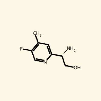 Cc1cc([C@H](N)CO)ncc1F